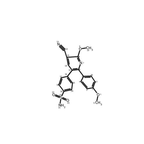 COc1ccc(-c2nc(OC)c(C#N)cc2-c2ccc(S(N)(=O)=O)cc2)cc1